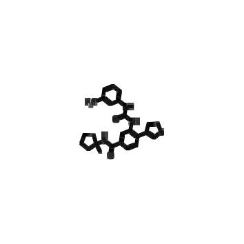 CC1(NC(=O)c2ccc(-c3ccsc3)c(NC(=O)Nc3cccc(C(F)(F)F)c3)c2)CCCC1